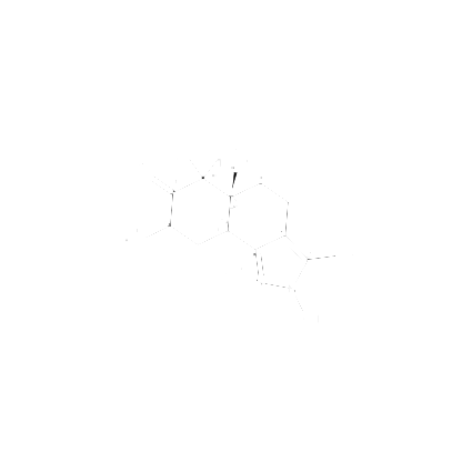 Cn1nc2c(c1Cl)CC[C@H]1C(C)(C)C(=O)C(C=O)C[C@]21C